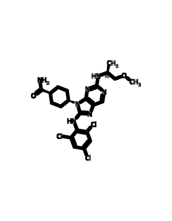 COC[C@H](C)Nc1ncc2nc(Nc3c(Cl)cc(Cl)cc3Cl)n([C@H]3CC[C@H](C(N)=O)CC3)c2n1